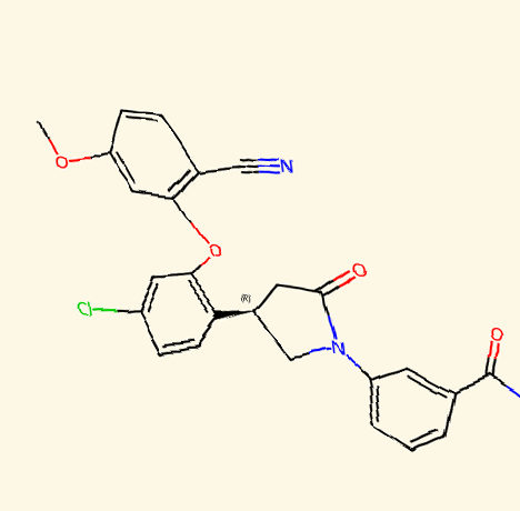 COc1ccc(C#N)c(Oc2cc(Cl)ccc2[C@H]2CC(=O)N(c3cccc(C(N)=O)c3)C2)c1